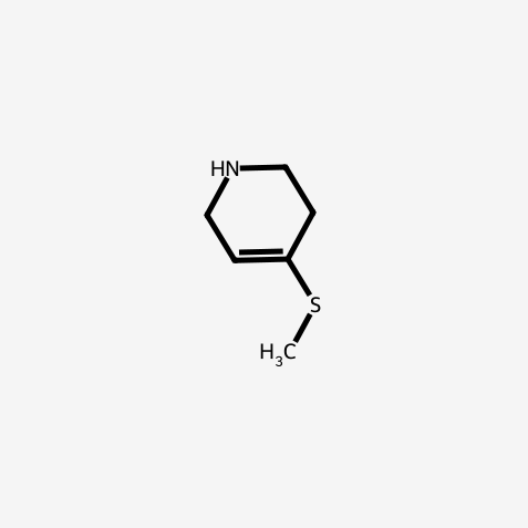 CSC1=CCNCC1